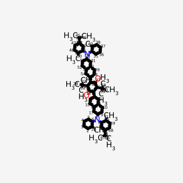 Cc1ccccc1N(c1ccc2cc3c(cc2c1)oc1c(C(C)(C)C)c2c(oc4cc5cc(N(c6ccccc6C)c6cc(C(C)C)ccc6C)ccc5cc42)c(C(C)(C)C)c13)c1cc(C(C)C)ccc1C